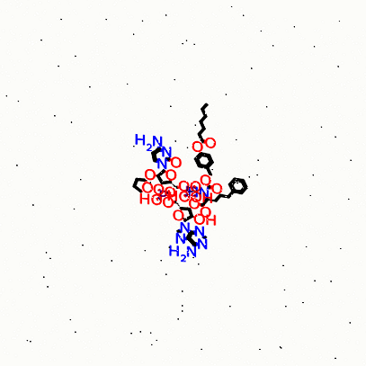 CCCCCCC(=O)Oc1ccc(COC(=O)N[C@@H](CCCc2ccccc2)C(=O)O[C@H]2[C@@H](O)[C@H](n3cnc4c(N)ncnc43)O[C@@H]2COP(=O)(O)O[C@H]2[C@@H](OC3CCCO3)[C@H](n3ccc(N)nc3=O)O[C@@H]2COP(=O)(O)O)cc1